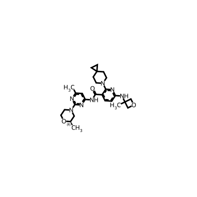 Cc1cc(NC(=O)c2ccc(NC3(C)COC3)nc2N2CCC3(CC2)CC3)nc(N2CCO[C@H](C)C2)n1